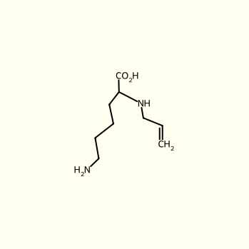 C=CCNC(CCCCN)C(=O)O